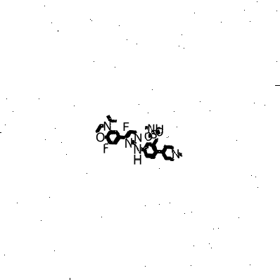 CNS(=O)(=O)Cc1cc(Nc2ncc(F)c(-c3cc(F)c4c(c3)N(C(C)C)CCO4)n2)ccc1C1CCN(C)CC1